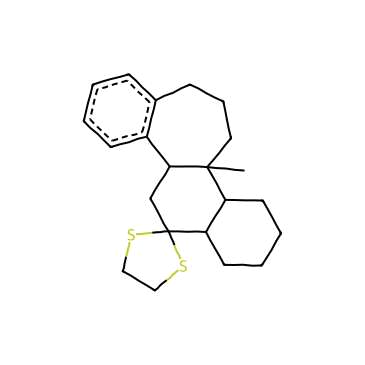 CC12CCCc3ccccc3C1CC1(SCCS1)C1CCCCC12